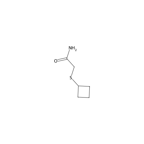 NC(=O)CSC1CCC1